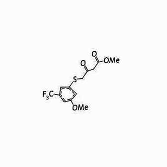 COC(=O)CC(=O)CSc1cc(OC)cc(C(F)(F)F)c1